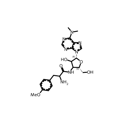 COc1ccc(CC(N)C(=O)NC2C(O)[C@H](n3cnc4c(N(C)C)ncnc43)O[C@@H]2CO)cc1